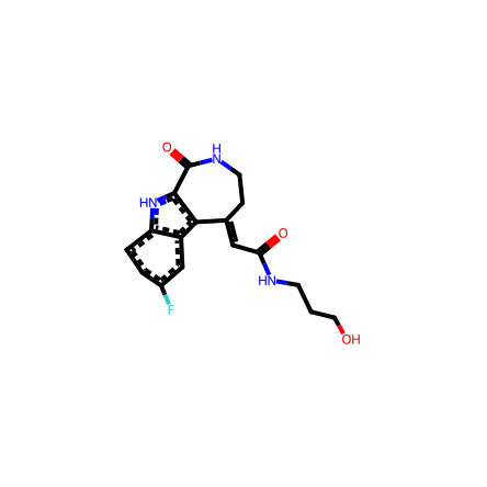 O=C(C=C1CCNC(=O)c2[nH]c3ccc(F)cc3c21)NCCCO